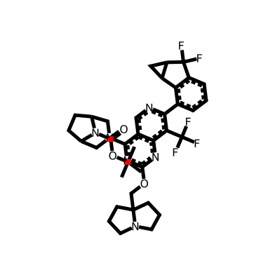 CC(C)(C)OC(=O)N1C2CCC1CN(c1nc(OCC34CCCN3CCC4)nc3c(C(F)(F)F)c(-c4cccc5c4C4CC4C5(F)F)ncc13)C2